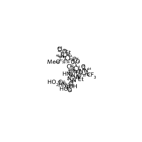 CC(C)OC(=O)c1cc(-n2c(=O)cc(C(F)(F)F)n(C)c2=O)ccc1Cl.CCNc1nc(Cl)nc(NC(C)(C)C)n1.CCc1cccc(C)c1N(C(=O)CCl)C(C)COC.O=C(O)CNCP(=O)(O)O